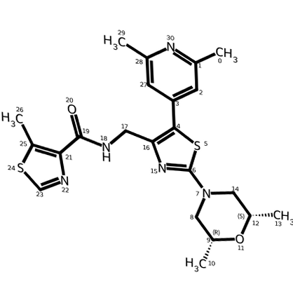 Cc1cc(-c2sc(N3C[C@@H](C)O[C@@H](C)C3)nc2CNC(=O)c2ncsc2C)cc(C)n1